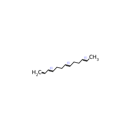 C=C/C=C/CC/C=C/CC/C=C/C